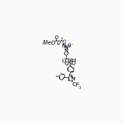 COC(=O)OC(C)O/N=[N+](\[O-])N1CC(C(=O)NS(=O)(=O)c2ccc(-n3nc(C(F)(F)F)cc3-c3ccc(C)cc3)cc2)C1